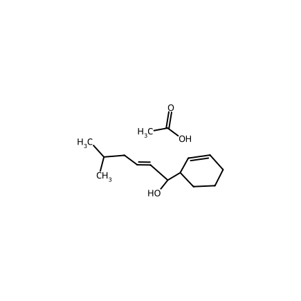 CC(=O)O.CC(C)CC=CC(O)C1C=CCCC1